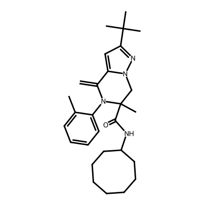 C=C1c2cc(C(C)(C)C)nn2CC(C)(C(=O)NC2CCCCCCC2)N1c1ccccc1C